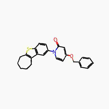 O=c1cc(OCc2ccccc2)ccn1-c1ccc2sc3c(c2c1)CCCCC3